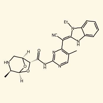 CCN1C(=C(C#N)c2nc(NC(=O)[C@@H]3O[C@@H]4O[C@H]3CN[C@@H]4C)ncc2C)Nc2ccccc21